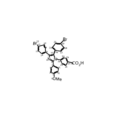 COc1ccc(-c2nc(-c3ccc(Br)cc3)c(-c3ccc(Br)cc3)n2-c2ccc(C(=O)O)cc2)cc1